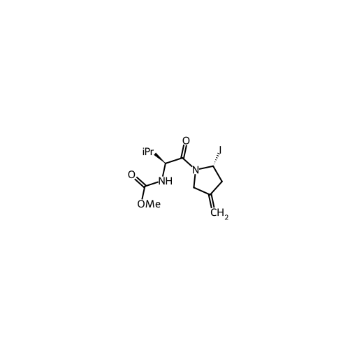 C=C1C[C@@H](I)N(C(=O)[C@@H](NC(=O)OC)C(C)C)C1